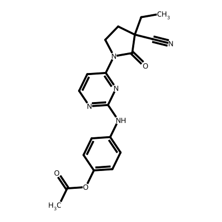 CCC1(C#N)CCN(c2ccnc(Nc3ccc(OC(C)=O)cc3)n2)C1=O